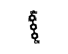 CCCCc1cnc(-c2ccc(-c3ccc(C#N)cc3)cc2)nc1